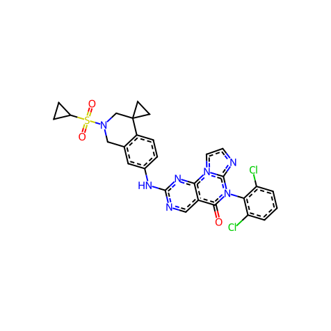 O=c1c2cnc(Nc3ccc4c(c3)CN(S(=O)(=O)C3CC3)CC43CC3)nc2n2ccnc2n1-c1c(Cl)cccc1Cl